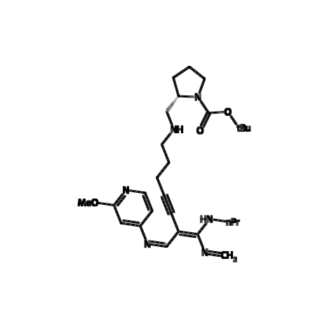 C=N/C(NCCC)=C(C#CCCCNC[C@@H]1CCCN1C(=O)OC(C)(C)C)\C=N/c1ccnc(OC)c1